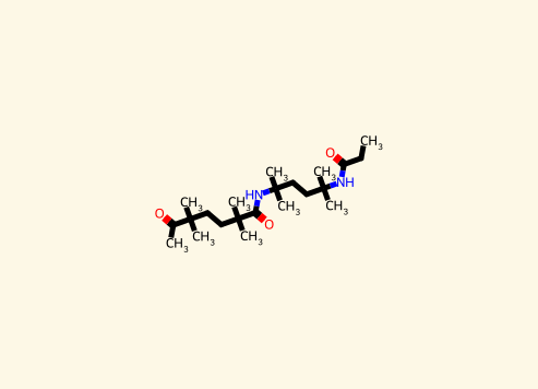 CCC(=O)NC(C)(C)CCC(C)(C)NC(=O)C(C)(C)CCC(C)(C)C(C)=O